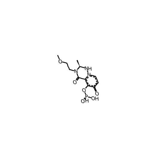 COCCN1C(=O)c2c(O[PH](=O)O)c(=O)ccn2N[C@@H]1C